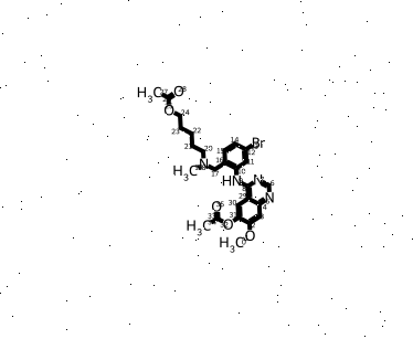 COc1cc2ncnc(Nc3cc(Br)ccc3CN(C)CCCCCOC(C)=O)c2cc1OC(C)=O